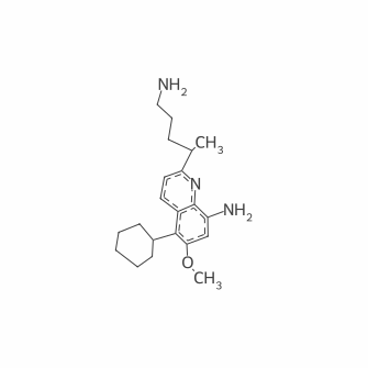 COc1cc(N)c2nc(C(C)CCCN)ccc2c1C1CCCCC1